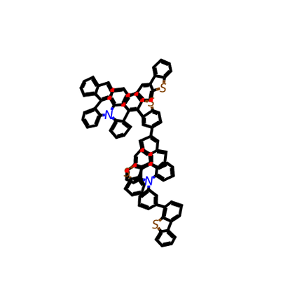 c1cc(-c2ccc3sc4ccccc4c3c2)cc(N(c2ccccc2-c2cccc3ccccc23)c2ccccc2-c2cccc3sc4ccc(-c5ccc6c(-c7ccccc7N(c7cccc(-c8cccc9c8sc8ccccc89)c7)c7ccccc7-c7cccc8sc9ccccc9c78)cccc6c5)cc4c23)c1